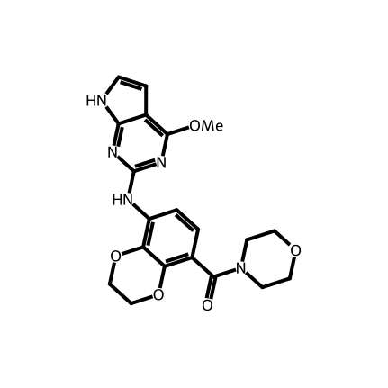 COc1nc(Nc2ccc(C(=O)N3CCOCC3)c3c2OCCO3)nc2[nH]ccc12